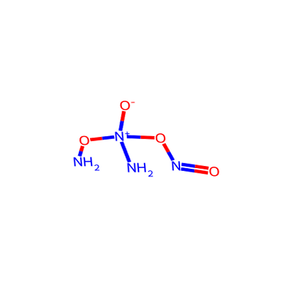 NO[N+](N)([O-])ON=O